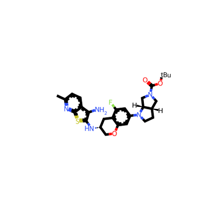 Cc1ccc2c(N)c(N[C@H]3COc4cc(N5CC[C@H]6CN(C(=O)OC(C)(C)C)C[C@H]65)cc(F)c4C3)sc2n1